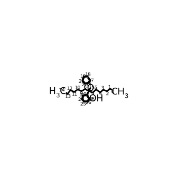 CCCCCCCC(CCCCCCC)(Oc1ccccc1)c1ccccc1O